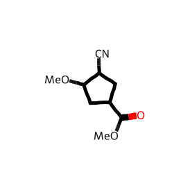 COC(=O)C1CC(C#N)C(OC)C1